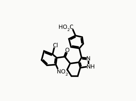 O=C(O)c1ccc(-c2n[nH]c3c2C(C(=O)c2c(Cl)cccc2[N+](=O)[O-])CCC3)cc1